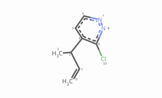 C=CC(C)c1ccnnc1Cl